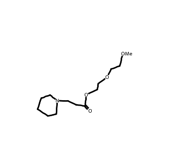 COCCOCCOC(=O)CCN1CCCCC1